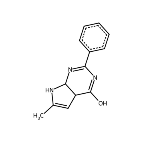 CC1=CC2C(O)=NC(c3ccccc3)=NC2N1